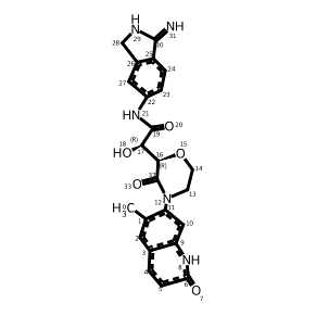 Cc1cc2ccc(=O)[nH]c2cc1N1CCO[C@H]([C@@H](O)C(=O)Nc2ccc3c(c2)CNC3=N)C1=O